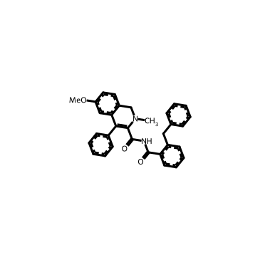 COc1ccc2c(c1)C(c1ccccc1)=C(C(=O)NC(=O)c1ccccc1Cc1ccccc1)N(C)C2